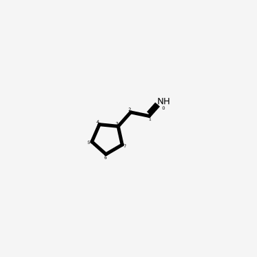 N=CCC1CCCC1